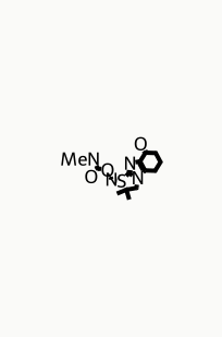 CNC(=O)ON=S1c2nc3c(n2CC1(C)C)CCCC3=O